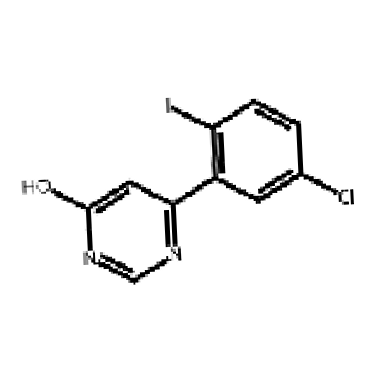 Oc1cc(-c2cc(Cl)ccc2I)ncn1